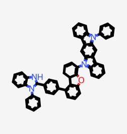 C1=CC(n2c3ccccc3c3cc4c(cc32)c2ccccc2n4-c2ccccc2)=C2Oc3cccc(-c4ccc(C5Nc6ccccc6N5c5ccccc5)cc4)c3C2C1